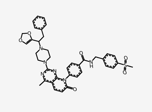 Cc1nc(N2CCN(C(Cc3ccccc3)C3=COCO3)CC2)nc2c1ccc(=O)n2-c1ccc(C(=O)NCc2ccc(S(C)(=O)=O)cc2)cc1